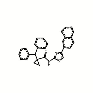 O=C(Nc1nc(-c2ccc3ccccc3c2)cs1)C1(C(c2ccccc2)c2ccccc2)CC1